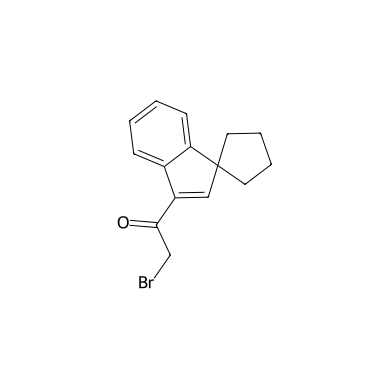 O=C(CBr)C1=CC2(CCCC2)c2ccccc21